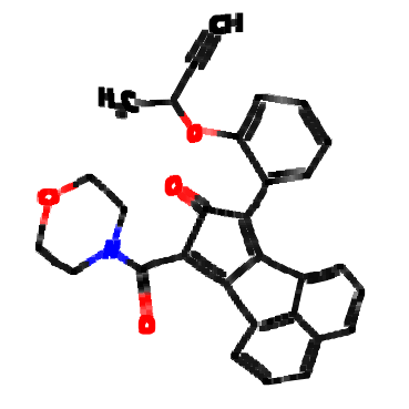 C#CC(C)Oc1ccccc1C1=C2C(=C(C(=O)N3CCOCC3)C1=O)c1cccc3cccc2c13